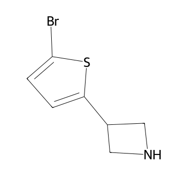 Brc1ccc(C2CNC2)s1